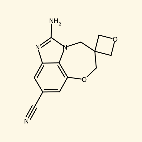 N#Cc1cc2c3c(c1)nc(N)n3CC1(COC1)CO2